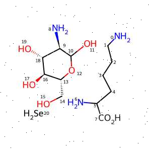 NCCCCC(N)C(=O)O.N[C@H]1C(O)O[C@H](CO)[C@@H](O)[C@@H]1O.[SeH2]